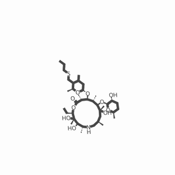 CCCSCC1C(C)C[C@H](O[C@H]2[C@H](C)[C@@H](O[C@@H]3O[C@H](C)CC[C@H]3O)[C@](C)(O)C[C@@H](C)CN[C@H](C)[C@@H](O)[C@](C)(O)[C@@H](CC)OC(=O)[C@@H]2C)O[C@H]1C